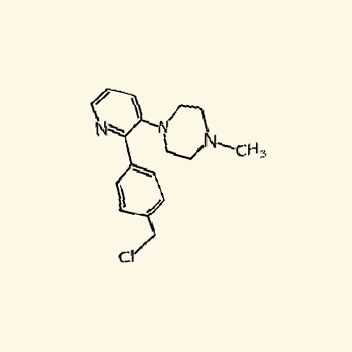 CN1CCN(c2cccnc2-c2ccc(CCl)cc2)CC1